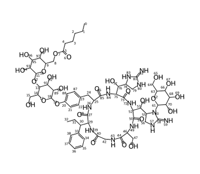 CCCCCC(=O)OCC1OC(OC2C(CO)OC(Oc3ccc(CC4NC(=O)C(C(CC)c5ccccc5)NC(=O)CNC(=O)C(CO)NC(=O)C(C(O)C5CNC(=N)N5C5OC(CO)C(O)C(O)C5O)NC(=O)C(C(O)C5CNC(=N)N5)NC4=O)cc3)C(O)C2O)C(O)C(O)C1O